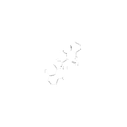 N#CC(C(=O)c1ccccc1Cl)=C1NC(c2c(F)cccc2Cl)=CS1